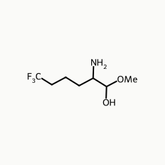 COC(O)C(N)CCCC(F)(F)F